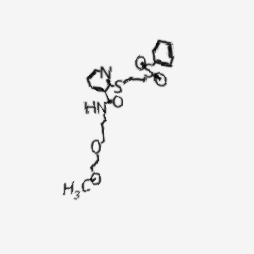 COCCOCCCNC(=O)c1cccnc1SCCS(=O)(=O)c1ccccc1